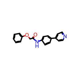 O=C(COc1ccccc1)Nc1ccc(-c2ccncc2)cc1